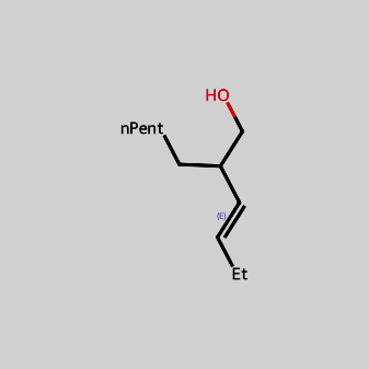 CC/C=C/C(CO)CCCCCC